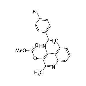 COC(=O)Oc1c(C)nc2cccc(C)c2c1NCc1ccc(Br)cc1